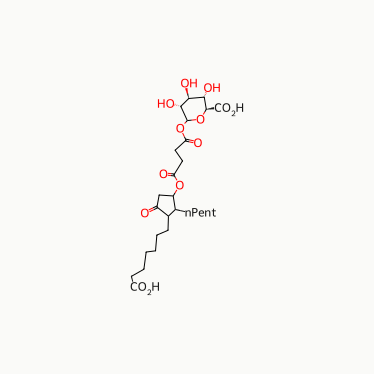 CCCCCC1C(OC(=O)CCC(=O)OC2O[C@H](C(=O)O)[C@@H](O)[C@H](O)[C@H]2O)CC(=O)C1CCCCCCC(=O)O